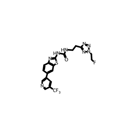 O=C(NCCc1nnn(CCF)n1)Nc1nc2ccc(-c3cncc(C(F)(F)F)c3)cc2s1